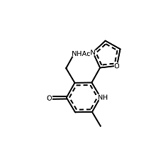 CC(=O)NCc1c(-c2ncco2)[nH]c(C)cc1=O